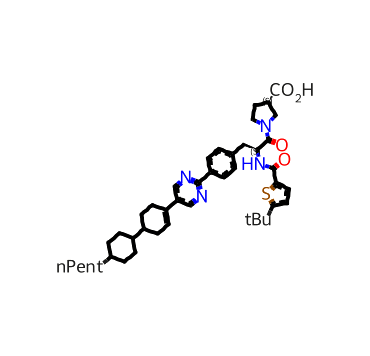 CCCCCC1CCC(C2CC=C(c3cnc(-c4ccc(C[C@H](NC(=O)c5ccc(C(C)(C)C)s5)C(=O)N5CC[C@H](C(=O)O)C5)cc4)nc3)CC2)CC1